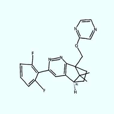 CC1(C)[C@H]2CCC1(COc1cnccn1)c1nnc(-c3c(F)cccc3F)cc12